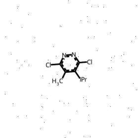 Cc1c(Cl)nnc(Cl)c1C(C)C